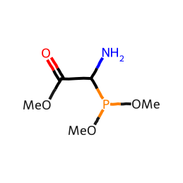 COC(=O)C(N)P(OC)OC